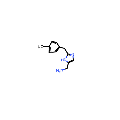 N#Cc1ccc(Cc2ncc(CN)[nH]2)cc1